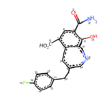 NC(=O)c1cc(C(=O)O)c2cc(Cc3ccc(F)cc3)cnc2c1O